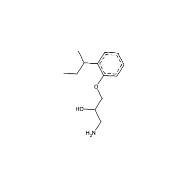 CCC(C)c1ccccc1OCC(O)CN